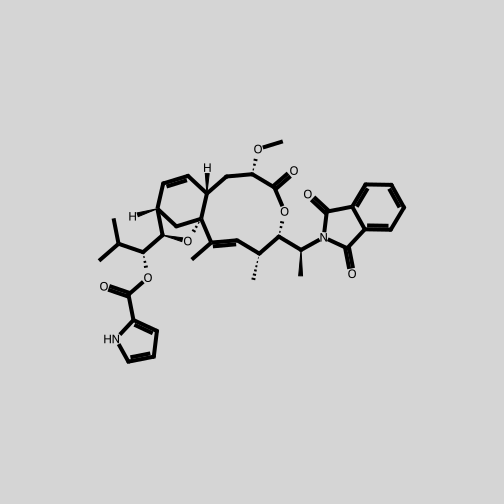 CO[C@H]1C[C@H]2C=C[C@@H]3C[C@]2(O[C@H]3[C@H](OC(=O)c2ccc[nH]2)C(C)C)/C(C)=C/[C@@H](C)[C@@H]([C@H](C)N2C(=O)c3ccccc3C2=O)OC1=O